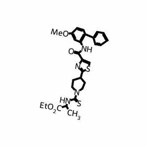 CCOC(=O)C(C)NC(=S)N1CCC(c2nc(C(=O)Nc3cc(OC)ccc3-c3ccccc3)cs2)CC1